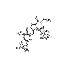 CCOC(=O)C1CCC(CN(CC(=O)OC(C)(C)C)C(=O)OC)N1C(=O)OC(C)(C)C